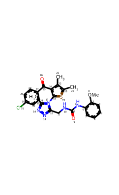 COc1ccccc1NC(=O)NCc1nnc(C)n1-c1sc(C)c(C)c1C(=O)c1ccc(Cl)cc1